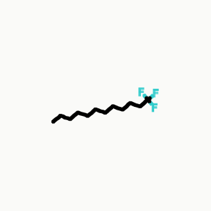 CCCCCCCCCCCC(F)(F)F